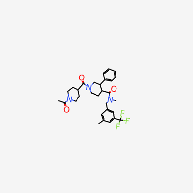 CC(=O)N1CCC(C(=O)N2CCC(C(=O)N(C)Cc3cc(C)cc(C(F)(F)F)c3)C(c3ccccc3)C2)CC1